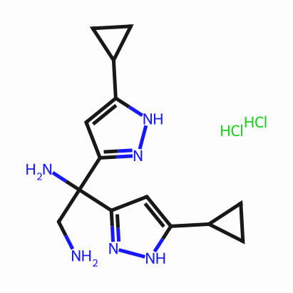 Cl.Cl.NCC(N)(c1cc(C2CC2)[nH]n1)c1cc(C2CC2)[nH]n1